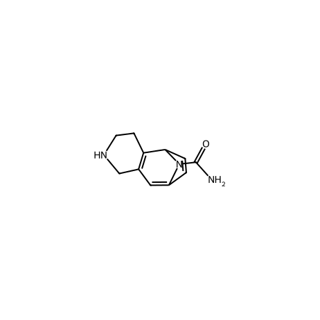 NC(=O)N1C2=CC3=C(CCNC3)C1C=C2